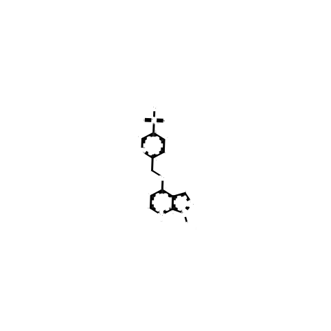 Cn1ncc2c(NCc3ccc(S(N)(=O)=O)cn3)ccnc21